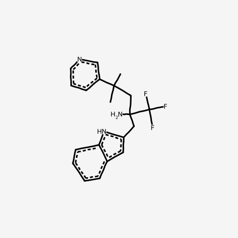 CC(C)(CC(N)(Cc1cc2ccccc2[nH]1)C(F)(F)F)c1cccnc1